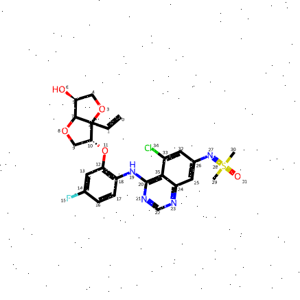 C=CC12OC[C@H](O)C1OC[C@H]2Oc1cc(F)ccc1Nc1ncnc2cc(N=S(C)(C)=O)cc(Cl)c12